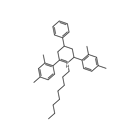 CCCCCCCC[PH]1=C(c2ccc(C)cc2C)CC(c2ccccc2)CC1c1ccc(C)cc1C